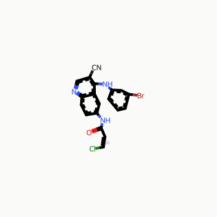 N#Cc1cnc2ccc(NC(=O)/C=C\Cl)cc2c1Nc1cccc(Br)c1